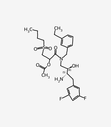 CCCCS(=O)(=O)CC(OC(C)=O)C(=O)N(Cc1cccc(CC)c1)C[C@@H](O)[C@@H](N)Cc1cc(F)cc(F)c1